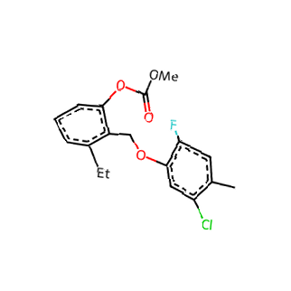 CCc1cccc(OC(=O)OC)c1COc1cc(Cl)c(C)cc1F